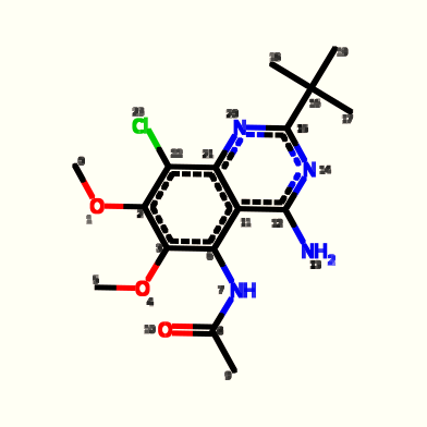 COc1c(OC)c(NC(C)=O)c2c(N)nc(C(C)(C)C)nc2c1Cl